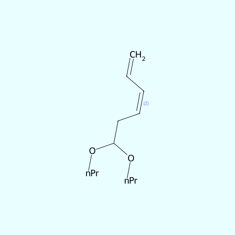 C=C/C=C\CC(OCCC)OCCC